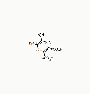 N#CC(C#N)=C(S)S.O=C(O)/C=C\C(=O)O